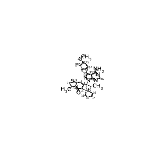 CCC(c1cc2scc(C)n2c(=O)c1-c1ccccc1)n1nc(-c2ccc(OC)c(F)c2)c2c(N)ncnc21